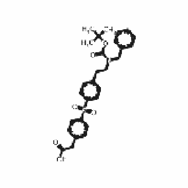 CC(C)(C)OC(=O)N(CCc1ccc(S(=O)(=O)c2ccc(CC(=O)O)cc2)cc1)Cc1ccccc1